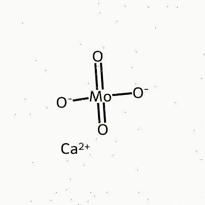 [Ca+2].[O]=[Mo](=[O])([O-])[O-]